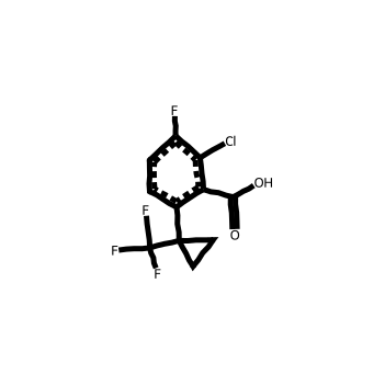 O=C(O)c1c(C2(C(F)(F)F)CC2)ccc(F)c1Cl